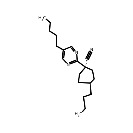 CCCCCc1cnc([C@]2(C#N)CC[C@H](CCCC)CC2)nc1